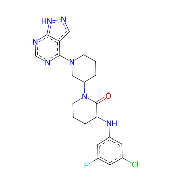 O=C1C(Nc2cc(F)cc(Cl)c2)CCCN1C1CCCN(c2ncnc3[nH]ncc23)C1